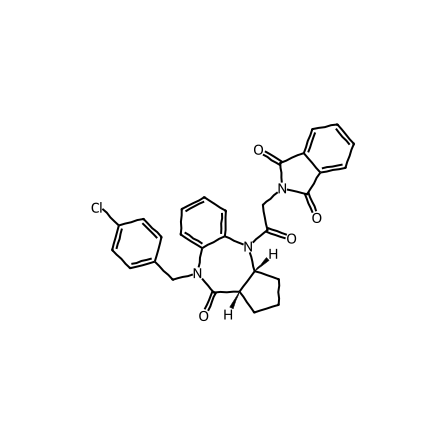 O=C1c2ccccc2C(=O)N1CC(=O)N1c2ccccc2N(Cc2ccc(Cl)cc2)C(=O)[C@H]2CCC[C@H]21